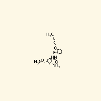 CCC=CCCOc1cccc(CNC(=O)c2ccc(COC)nc2N)c1F